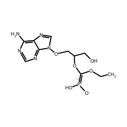 CCO/C(OC(CO)COn1cnc2c(N)ncnc21)=[P+](\[O-])O